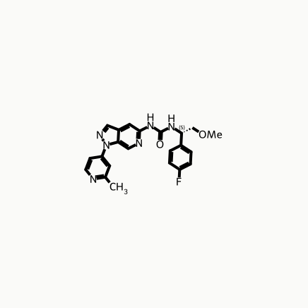 COC[C@@H](NC(=O)Nc1cc2cnn(-c3ccnc(C)c3)c2cn1)c1ccc(F)cc1